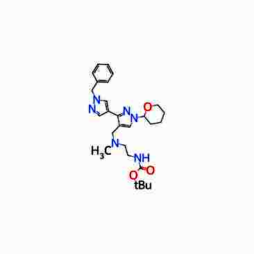 CN(CCNC(=O)OC(C)(C)C)Cc1cn(C2CCCCO2)nc1-c1cnn(Cc2ccccc2)c1